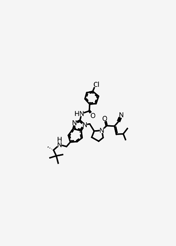 CC(C)/C=C(\C#N)C(=O)N1CCCC1Cn1c(NC(=O)c2ccc(Cl)cc2)nc2cc(CN[C@@H](C)C(C)(C)C)ccc21